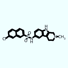 CN1CCc2c([nH]c3ccc(NS(=O)(=O)c4ccc5ccc(Cl)cc5c4)cc23)C1